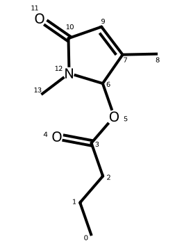 CCCC(=O)OC1C(C)=CC(=O)N1C